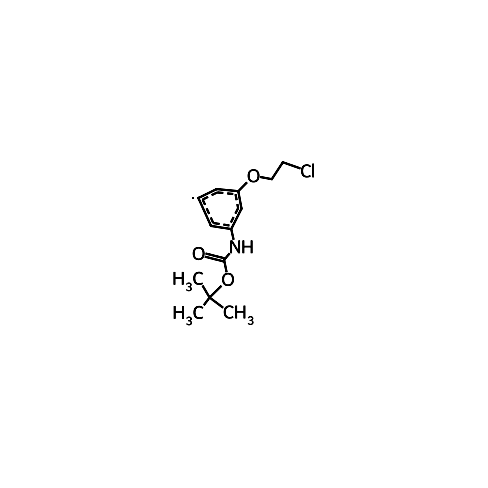 CC(C)(C)OC(=O)Nc1c[c]cc(OCCCl)c1